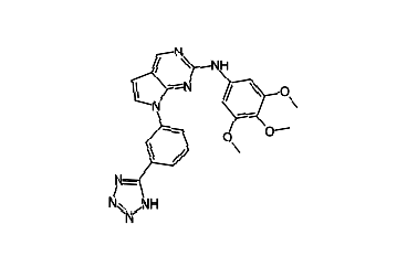 COc1cc(Nc2ncc3ccn(-c4cccc(-c5nnn[nH]5)c4)c3n2)cc(OC)c1OC